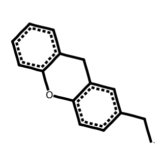 [CH2]Cc1ccc2c(c1)Cc1ccccc1O2